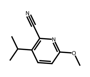 COc1ccc(C(C)C)c(C#N)n1